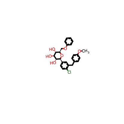 COc1ccc(Cc2cc([C@@H]3O[C@H](COc4ccccc4)[C@@H](O)[C@H](O)[C@H]3O)ccc2Cl)cc1